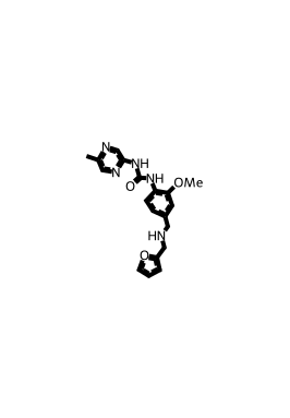 COc1cc(CNCc2ccco2)ccc1NC(=O)Nc1cnc(C)cn1